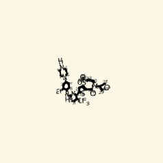 CCc1cc(N2CCNCC2)ccc1Nc1ncc(C(F)(F)F)c(-c2cc3c(s2)C(=O)N(C2COC2)CCS3(=O)=O)n1